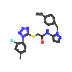 COc1ccc(Cn2nccc2NC(=O)CSc2nnnn2-c2ccc(C)cc2F)cc1